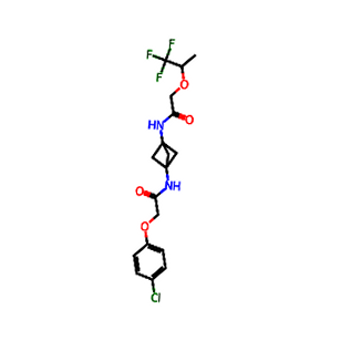 CC(OCC(=O)NC12CC(NC(=O)COc3ccc(Cl)cc3)(C1)C2)C(F)(F)F